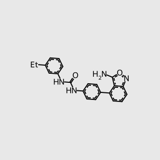 CCc1cccc(NC(=O)Nc2ccc(-c3cccc4noc(N)c34)cc2)c1